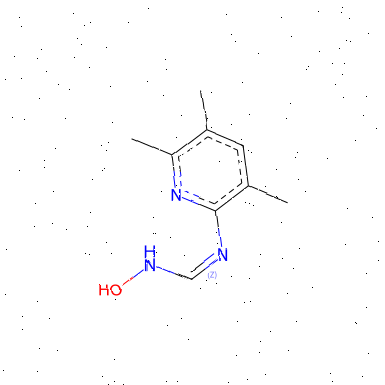 Cc1cc(C)c(/N=C\NO)nc1C